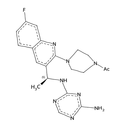 CC(=O)N1CCN(c2nc3cc(F)ccc3cc2[C@H](C)Nc2ncnc(N)n2)CC1